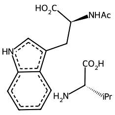 CC(=O)N[C@@H](Cc1c[nH]c2ccccc12)C(=O)O.CC(C)[C@H](N)C(=O)O